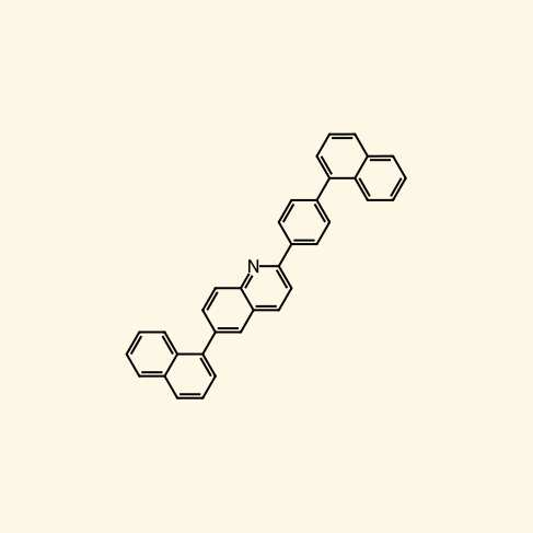 c1ccc2c(-c3ccc(-c4ccc5cc(-c6cccc7ccccc67)ccc5n4)cc3)cccc2c1